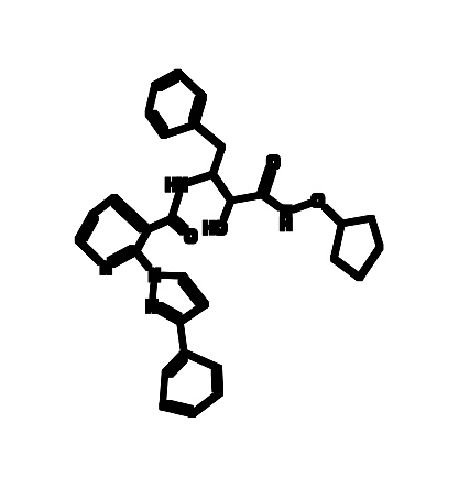 O=C(NC(Cc1ccccc1)C(O)C(=O)NOC1CCCC1)c1cccnc1-n1ccc(-c2ccccc2)n1